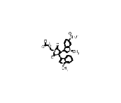 CC(=O)OCN1C(=O)C(c2cn(C)c3ccccc23)=C(c2cn(C)c3cc([N+](=O)[O-])ccc23)C1=O